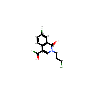 O=C(Cl)c1cn(CCCCl)c(=O)c2cc(Cl)ccc12